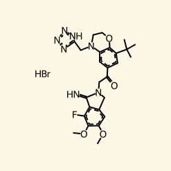 Br.COc1cc2c(c(F)c1OC)C(=N)N(CC(=O)c1cc3c(c(C(C)(C)C)c1)OCCN3Cc1nnn[nH]1)C2